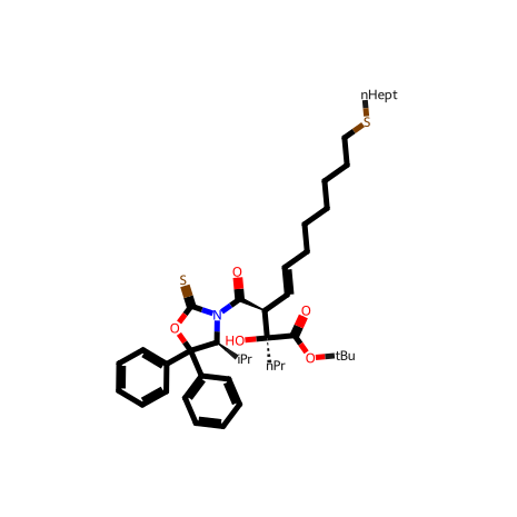 CCCCCCCSCCCCCC/C=C/[C@H](C(=O)N1C(=S)OC(c2ccccc2)(c2ccccc2)[C@@H]1C(C)C)[C@@](O)(CCC)C(=O)OC(C)(C)C